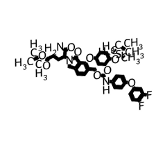 CC(C)(C)OC(=O)CCC(C(N)=O)N1Cc2ccc(COC(=O)Nc3ccc(Oc4ccc(F)c(F)c4)cc3)c(OC3CCC(O[Si](C)(C)C(C)(C)C)CC3)c2C1=O